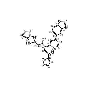 O=C(Nc1nc2ccccc2[nH]1)c1cc(-c2ccco2)nc2ccc(-c3ccc4scnc4c3)cc12